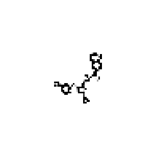 O=C(NCCc1nn(C2CC2)cc1Sc1cc(Cl)ccn1)c1ccc2ncccc2c1